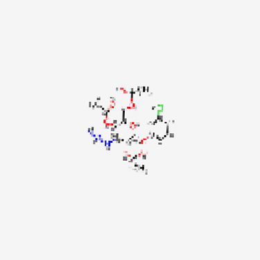 CC(=O)OCC1O[C@H](Oc2cccc(Cl)c2)C(OC(C)=O)[C@@H](N=[N+]=[N-])[C@H]1OC(C)=O